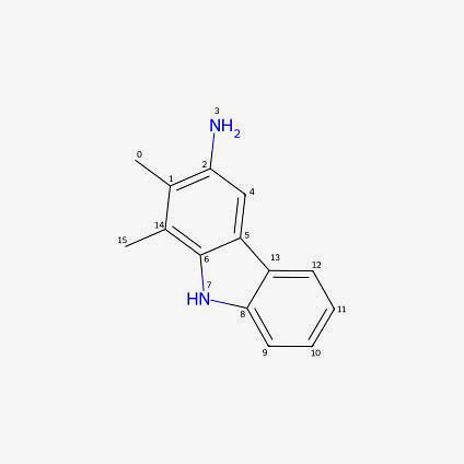 Cc1c(N)cc2c([nH]c3ccccc32)c1C